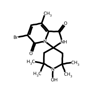 Cc1cc(Br)c(=O)n2c1C(=O)NC21CC(C)(C)N(O)C(C)(C)C1